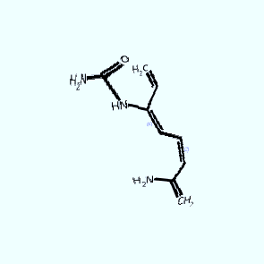 C=C/C(=C\C=C/C(=C)N)NC(N)=O